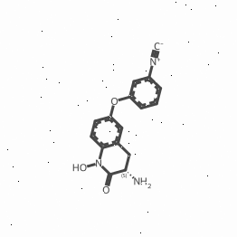 [C-]#[N+]c1cccc(Oc2ccc3c(c2)C[C@H](N)C(=O)N3O)c1